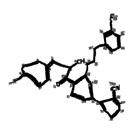 CC(Cc1ccc(F)cc1)C(=O)c1ccc(-c2ccccc2C#N)nc1CCCc1cccc(F)c1